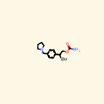 CC(C)(C)C(COC(N)=O)c1ccc(CN2CCCC2)cc1